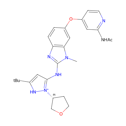 CC(=O)Nc1cc(Oc2ccc3nc(Nc4cc(C(C)(C)C)[nH][n+]4[C@@H]4CCOC4)n(C)c3c2)ccn1